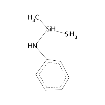 C[SiH]([SiH3])Nc1ccccc1